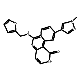 Cn1cc(-c2ccc3c(NCc4ccco4)nc4cc[nH]c(=O)c4c3c2)cn1